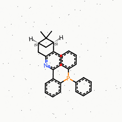 CC1(C)[C@@H]2Cc3nc(-c4ccccc4P(c4ccccc4)c4ccccc4)ccc3[C@H]1C2